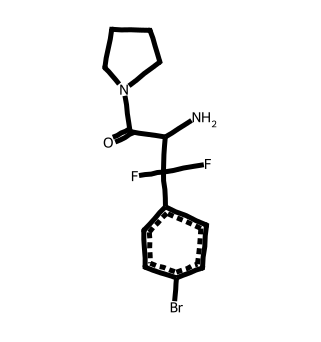 NC(C(=O)N1CCCC1)C(F)(F)c1ccc(Br)cc1